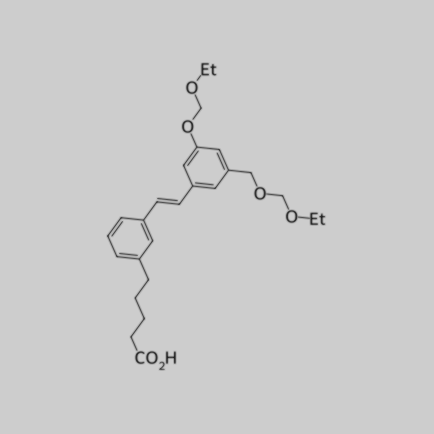 CCOCOCc1cc(C=Cc2cccc(CCCCC(=O)O)c2)cc(OCOCC)c1